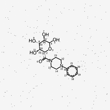 O=C([C@H]1OC(O)[C@H](O)[C@@H](O)[C@@H]1O)N1CCN(c2ccccc2)CC1